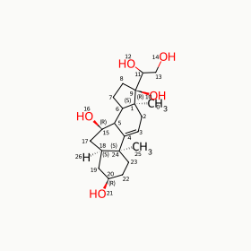 C[C@]12CC=C3C(C1CC[C@]2(O)C(O)CO)[C@H](O)C[C@@H]1C[C@H](O)CC[C@]31C